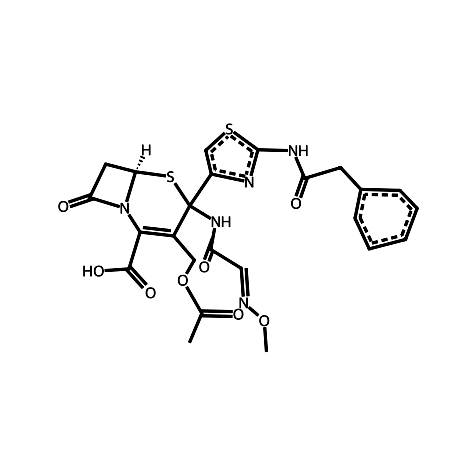 CON=CC(=O)NC1(c2csc(NC(=O)Cc3ccccc3)n2)S[C@@H]2CC(=O)N2C(C(=O)O)=C1COC(C)=O